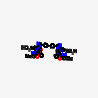 COC(=O)N[C@H](C(=O)N1C[C@@H](S(=O)(=O)O)C[C@H]1c1ncc(-c2ccc(-c3ccc(-c4cnc([C@@H]5C[C@H](S(=O)(=O)O)CN5C(=O)[C@@H](NC(=O)OC)c5ccccc5)[nH]4)cc3)cc2)[nH]1)c1ccccc1